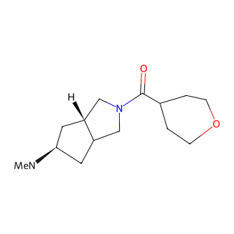 CN[C@@H]1CC2CN(C(=O)C3CCOCC3)C[C@H]2C1